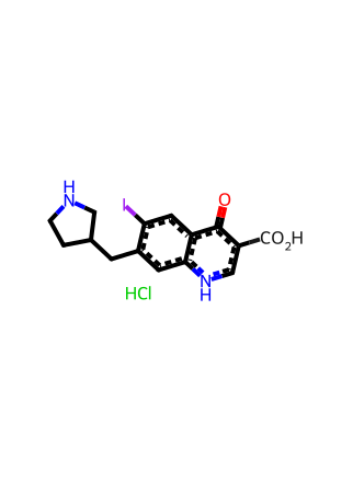 Cl.O=C(O)c1c[nH]c2cc(CC3CCNC3)c(I)cc2c1=O